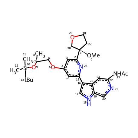 CO[C@@]1(c2cc(OC[C@@H](C)O[Si](C)(C)C(C)(C)C)cc(-c3c[nH]c4cnc(NC(C)=O)cc34)n2)CCOC1